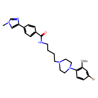 COc1cc(Br)ccc1N1CCN(CCCCNC(=O)c2ccc(-c3cn(C)cn3)cc2)CC1